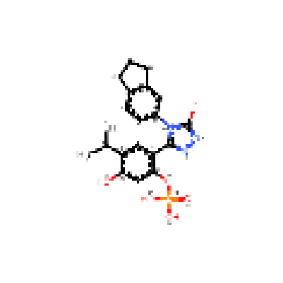 CC(C)c1cc(-c2nnc(O)n2-c2ccc3c(c2)CCC3)c(OP(=O)(O)O)cc1O